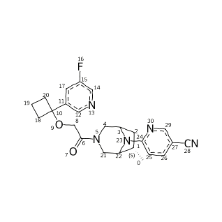 C[C@H]1CC2CN(C(=O)COC3(c4cncc(F)c4)CCC3)CC1N2c1ccc(C#N)cn1